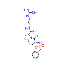 N=C(N)NCCCNC(=O)C1CSC2CCC(NS(=O)(=O)Cc3ccccc3)C(=O)N21